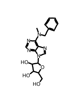 CN(Cc1ccccc1)c1ncnc2c1ncn2C1OC(CO)C(O)C1O